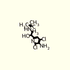 CC(C)(C)NCC(O)c1cc(Cl)c(N)c(Cl)n1